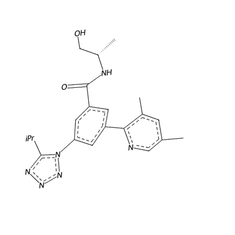 Cc1cnc(-c2cc(C(=O)N[C@@H](C)CO)cc(-n3nnnc3C(C)C)c2)c(C)c1